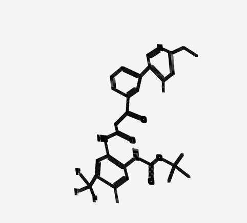 CCc1cc(C)c(-c2cccc(C(=O)CC(=O)Nc3cc(C(F)(F)F)c(C)cc3NC(=O)OC(C)(C)C)c2)cn1